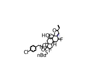 C=CC(=O)/C=C1/[C@@H](F)C[C@H]2C3C[C@@H](C)[C@](ON(C)Cc4ccc(Cl)cc4)(C(=O)SCCCC)C3(C)C[C@H](O)[C@]2(F)C1(C)C